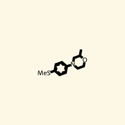 CSc1ccc(N2CCOC(C)C2)cc1